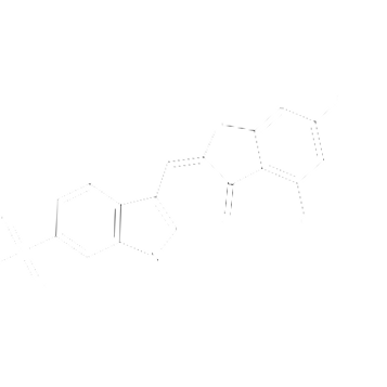 CS(=O)(=O)c1ccc2c(/C=C3/Oc4cc(O)cc(O)c4C3=O)c[nH]c2c1